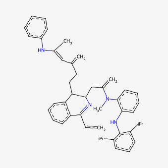 C=CC1=NC(CC(=C)N(C)c2ccccc2Nc2c(C(C)C)cccc2C(C)C)C(CCC(=C)/C=C(\C)Nc2ccccc2)c2ccccc21